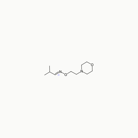 CC(C)/C=N/OCCN1CCOCC1